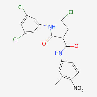 Cc1cc(NC(=O)C(CCCl)C(=O)Nc2cc(Cl)cc(Cl)c2)ccc1[N+](=O)[O-]